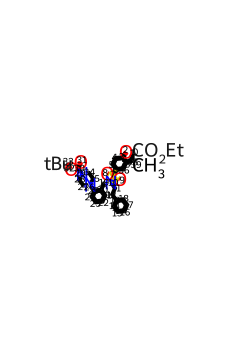 CCOC(=O)c1oc2ccc(S(=O)(=O)N(CCc3ccccc3)Cc3ccccc3N3CCN(C(=O)OC(C)(C)C)CC3)cc2c1C